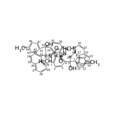 Cc1ccc(C(O)(c2ccc(C)cc2)[C@H](NC(=O)C(=O)N[C@H](c2cccc3ccccc23)C(O)(c2ccc(C)cc2)c2ccc(C)cc2)c2cccc3ccccc23)cc1